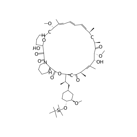 CO[C@H]1C[C@@H]2CC[C@@H](C)[C@@](O)(O2)C(=O)C(=O)N2CCCC[C@H]2C(=O)O[C@H]([C@H](C)C[C@@H]2CC[C@@H](O[Si](C)(C)C(C)(C)C)[C@H](OC)C2)CC(=O)[C@H](C)/C=C(\C)[C@@H](O)[C@@H](OC)C(=O)[C@H](C)C[C@H](C)/C=C/C=C/C=C/1C